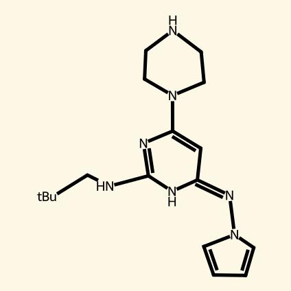 CC(C)(C)CNc1nc(N2CCNCC2)cc(=Nn2cccc2)[nH]1